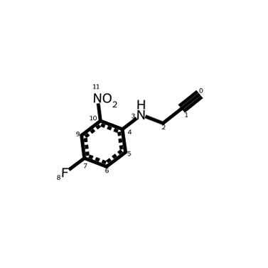 C#CCNc1ccc(F)cc1[N+](=O)[O-]